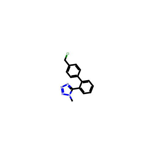 Cn1nnnc1-c1ccccc1-c1ccc(CCl)cc1